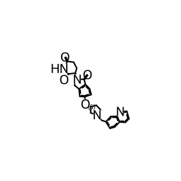 O=C1CCC(N2Cc3cc(O[C@H]4CCN(Cc5ccc6cccnc6c5)C4)ccc3C2=O)C(=O)N1